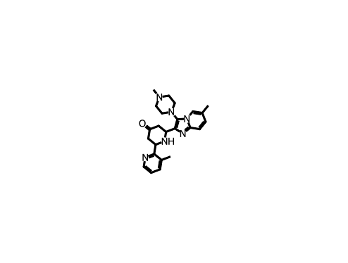 Cc1ccc2nc(C3CC(=O)CC(c4ncccc4C)N3)c(N3CCN(C)CC3)n2c1